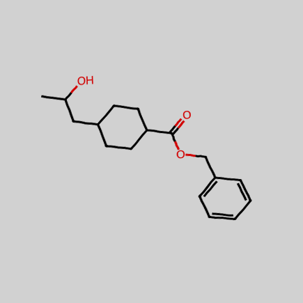 CC(O)CC1CCC(C(=O)OCc2ccccc2)CC1